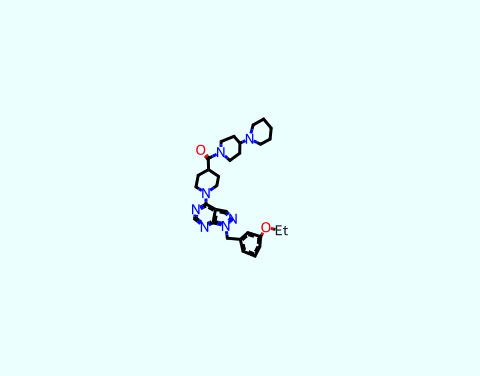 CCOc1cccc(Cn2ncc3c(N4CCC(C(=O)N5CCC(N6CCCCC6)CC5)CC4)ncnc32)c1